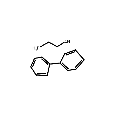 N#CCCP.c1ccc(-c2ccccc2)cc1